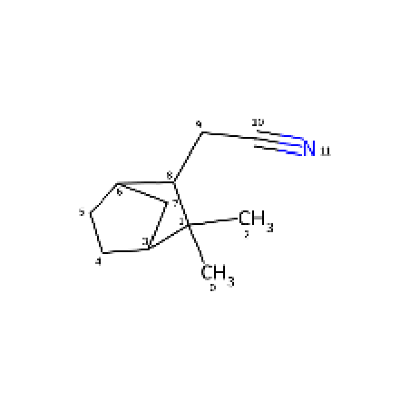 CC1(C)C2CCC(C2)C1CC#N